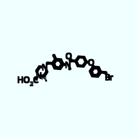 Cc1cc(N(C)C(=O)C2CCC(Oc3cccc(CBr)c3)CC2)ccc1CN1CCN(C(=O)O)[C@@H](C)C1